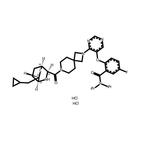 CC(C)N(C(=O)c1cc(F)ccc1Oc1cncnc1N1CC2(CCN(C(=O)[C@H]3N[C@H]4CC[C@@H]3C[C@H]4CC3CC3)CC2)C1)C(C)C.Cl.Cl